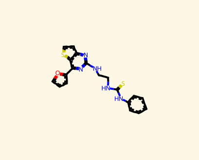 S=C(NCCNc1nc(-c2ccco2)c2sccc2n1)Nc1ccccc1